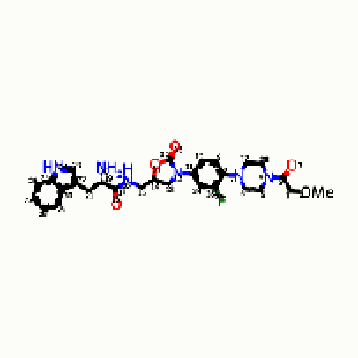 COCC(=O)N1CCN(c2ccc(N3CC(CNC(=O)[C@@H](N)Cc4c[nH]c5ccccc45)OC3=O)cc2F)CC1